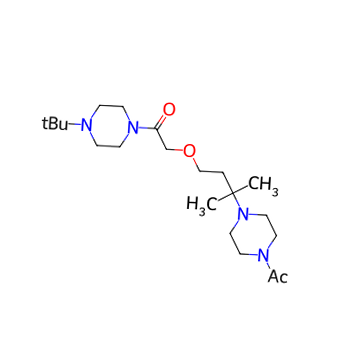 CC(=O)N1CCN(C(C)(C)CCOCC(=O)N2CCN(C(C)(C)C)CC2)CC1